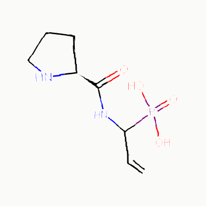 C=CC(NC(=O)[C@@H]1CCCN1)P(=O)(O)O